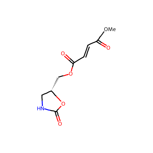 COC(=O)/C=C/C(=O)OC[C@H]1CNC(=O)O1